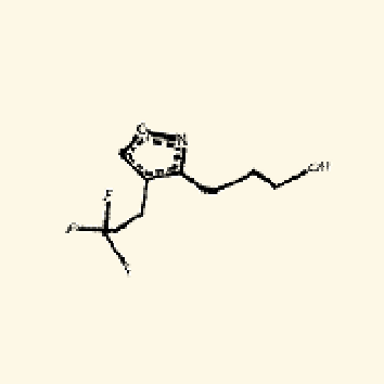 OCCCc1nocc1CC(F)(F)F